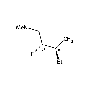 CC[C@H](C)[C@H](F)CNC